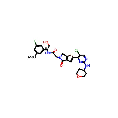 COc1cc(F)cc([C@@H](CO)NC(=O)CN2Cc3sc(-c4nc(NC5CCOCC5)ncc4Cl)cc3C2=O)c1